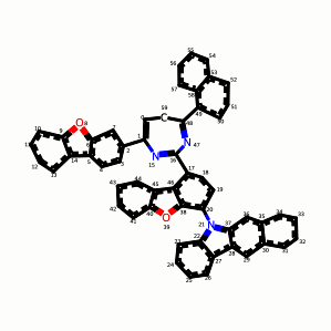 C1=C(c2ccc3c(c2)oc2ccccc23)N=C(c2ccc(-n3c4ccccc4c4cc5ccccc5cc43)c3oc4ccccc4c23)N=C(c2cccc3ccccc23)C1